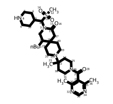 CCCCC1CN(C(C2CCNCC2)S(C)(=O)=O)C(=O)CC12CCN(C1(C)CCN(C(=O)c3c(C)ncnc3C)CC1)CC2